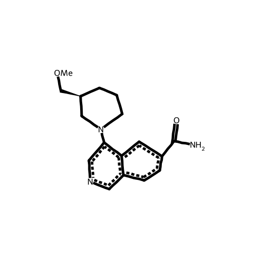 COC[C@H]1CCCN(c2cncc3ccc(C(N)=O)cc23)C1